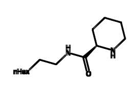 CCCCCCCCNC(=O)[C@H]1CCCCN1